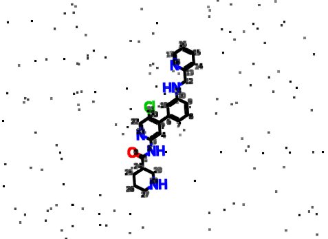 O=C(Nc1cc(-c2cccc(NCc3ccccn3)c2)c(Cl)cn1)[C@@H]1CCCNC1